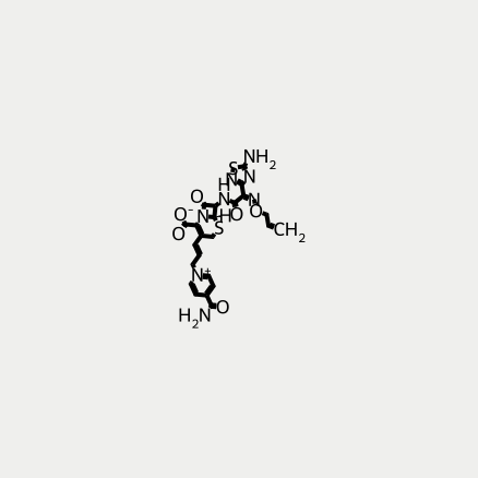 C=CCO/N=C(\C(=O)NC1C(=O)N2C(C(=O)[O-])=C(/C=C/C[n+]3ccc(C(N)=O)cc3)CS[C@H]12)c1nsc(N)n1